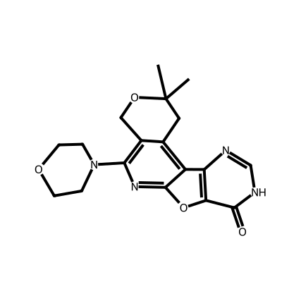 CC1(C)Cc2c(c(N3CCOCC3)nc3oc4c(=O)[nH]cnc4c23)CO1